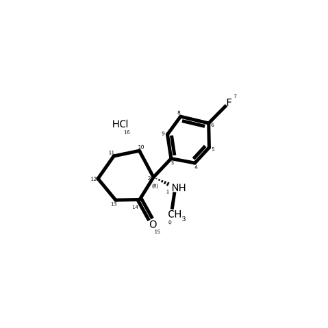 CN[C@@]1(c2ccc(F)cc2)CCCCC1=O.Cl